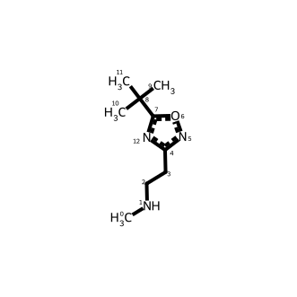 CNCCc1noc(C(C)(C)C)n1